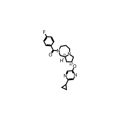 O=C(c1ccc(F)cc1)N1CCCN2C[C@H](Oc3cnc(C4CC4)cn3)C[C@H]2C1